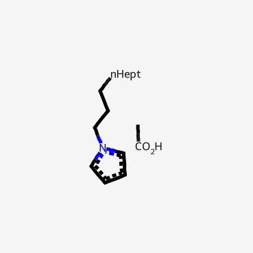 CC(=O)O.CCCCCCCCCCn1cccc1